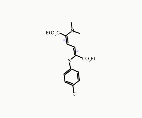 CCOC(=O)/C(=C/C=C(/C(=O)OCC)N(C)C)Sc1ccc(Cl)cc1